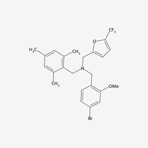 COc1cc(Br)ccc1CN(Cc1ccc(C(F)(F)F)o1)Cc1c(C)cc(C)cc1C